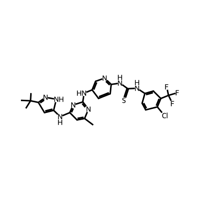 Cc1cc(Nc2cc(C(C)(C)C)n[nH]2)nc(Nc2ccc(NC(=S)Nc3ccc(Cl)c(C(F)(F)F)c3)nc2)n1